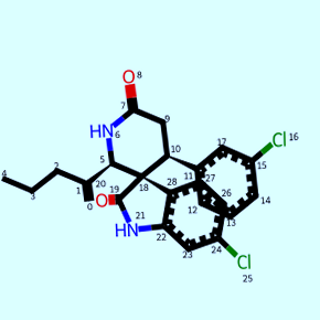 C=C(CCC)[C@H]1NC(=O)C[C@@H](c2cccc(Cl)c2)[C@]12C(=O)Nc1cc(Cl)ccc12